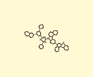 c1ccc(-c2cc(-c3ccc4ccccc4c3)cc(-c3nc(-c4ccccc4)nc(-n4c5ccc(-c6cc7sc8ccccc8c7c7ccccc67)cc5c5c6ccccc6ccc54)n3)c2)cc1